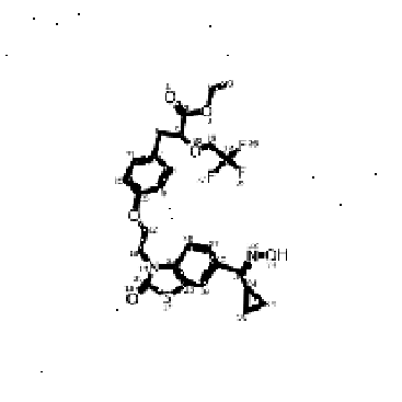 CCOC(=O)C(Cc1ccc(OCCn2c(=O)sc3cc(C(=NO)C4CC4)ccc32)cc1)OCC(F)(F)F